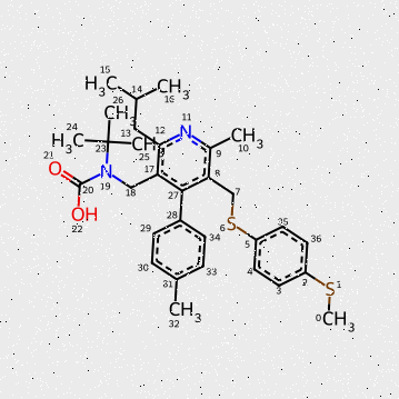 CSc1ccc(SCc2c(C)nc(CC(C)C)c(CN(C(=O)O)C(C)(C)C)c2-c2ccc(C)cc2)cc1